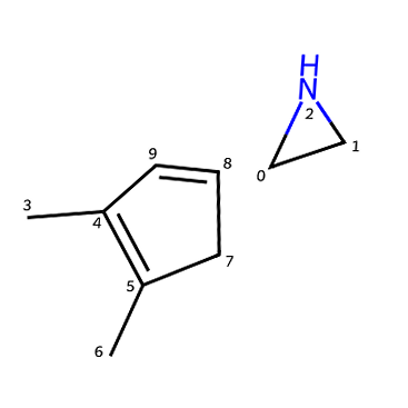 C1CN1.CC1=C(C)CC=C1